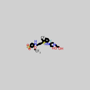 CS(=O)(=O)c1ccc(NCC#Cc2sc3c(NC4CCN(CC(O)CO)CC4F)cccc3c2CC(F)(F)F)c(OCC(F)(F)F)c1